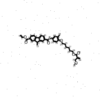 C=COC(=O)c1ccc2c(c1)C(C)c1cc(C(=O)Sc3ccc(OCCCCCCOC(=O)C(=C)COC)c(C)c3)ccc1-2